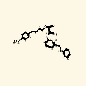 C=C(OCCCCc1ccc(OC)cc1)C(=O)Oc1cccc(CSc2ccccc2)n1